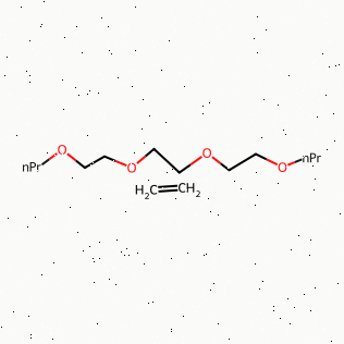 C=C.CCCOCCOCCOCCOCCC